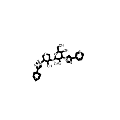 COC1C(SC2COCC(n3cc(-c4ccccc4)nn3)C2O)OC(CO)C(O)C1n1cc(-c2cccnc2)nn1